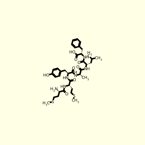 CSCC[C@H](NC(=O)[C@@H](N)CCSC)C(=O)N[C@@H](Cc1ccc(O)cc1)C(=O)N[C@@H](C)C(=O)N[C@@H](CC(C)C)C(=O)N[C@@H](Cc1ccccc1)C(=O)O